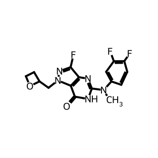 CN(c1ccc(F)c(F)c1)c1nc2c(F)nn(CC3CCO3)c2c(=O)[nH]1